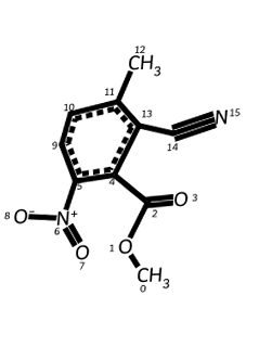 COC(=O)c1c([N+](=O)[O-])ccc(C)c1C#N